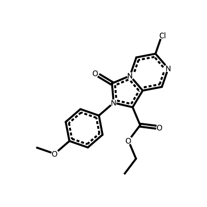 CCOC(=O)c1c2cnc(Cl)cn2c(=O)n1-c1ccc(OC)cc1